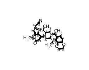 CC[C@H]1CN(C(C)c2ccc3c(c2)OCCO3)[C@H](CC)CN1c1cc(=O)n(C)c2cn(CC#N)nc12